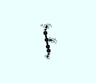 C=C(C)C(=O)OCOc1ccc(C#Cc2ccc(C#Cc3ccc(-c4ccc(OCOC(=O)C(C)=O)cc4)cc3)c(OC(=O)C(=C)C)c2)cc1